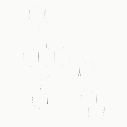 c1cc(-c2ccc3ccccc3c2)nc(-c2ccc3c(-c4ccc5ccccc5c4)c4ccccc4c(-c4ccc5ccccc5c4)c3c2)c1